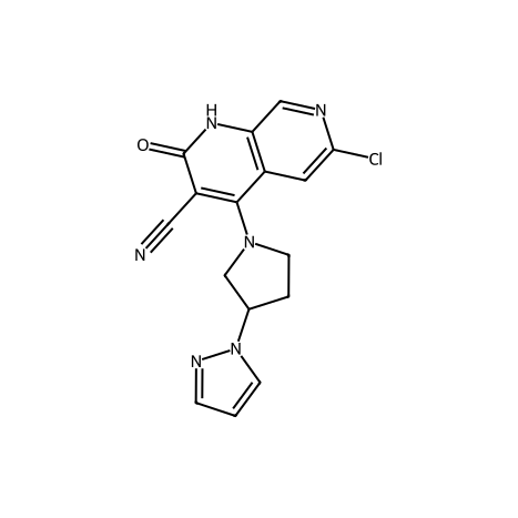 N#Cc1c(N2CCC(n3cccn3)C2)c2cc(Cl)ncc2[nH]c1=O